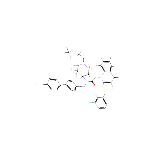 [2H]c1c(C)c([2H])c2c(=O)c([2H])c(SCc3cccc(F)c3F)n(CC(=O)N(Cc3ccc(-c4ccc(C(F)(F)F)cc4)cc3)C3([2H])C([2H])([2H])C([2H])([2H])N(CC([2H])([2H])OC([2H])([2H])[2H])C([2H])([2H])C3([2H])[2H])c2c1[2H]